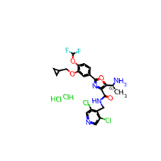 C[C@H](N)c1oc(-c2ccc(OC(F)F)c(OCC3CC3)c2)nc1C(=O)NCc1c(Cl)cncc1Cl.Cl.Cl